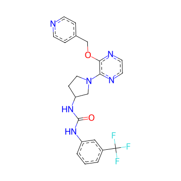 O=C(Nc1cccc(C(F)(F)F)c1)NC1CCN(c2nccnc2OCc2ccncc2)C1